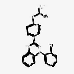 CCOC(=O)C(C)Oc1ccc(C(=O)Nc2ccccc2Sc2ccccc2C#N)cc1